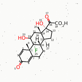 C[C@]12C=CC(=O)C=C1CC[C@H]1[C@@H]3CC[C@](O)(C(=O)C(=O)O)[C@@]3(C)CC(O)[C@@]12F